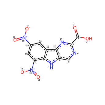 O=C(O)c1ncc2[nH]c3c([N+](=O)[O-])cc([N+](=O)[O-])cc3c2n1